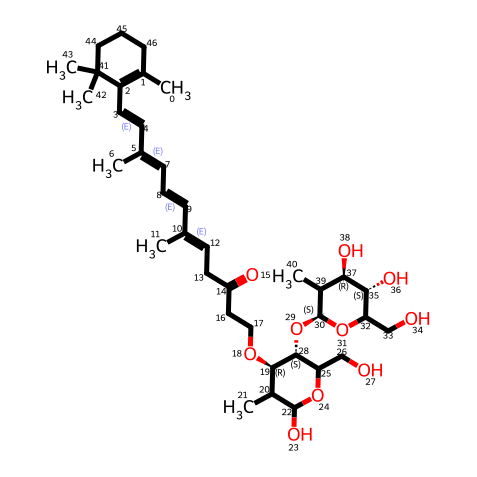 CC1=C(/C=C/C(C)=C/C=C/C(C)=C/CC(=O)CCO[C@@H]2C(C)C(O)OC(CO)[C@H]2O[C@@H]2OC(CO)[C@@H](O)[C@H](O)C2C)C(C)(C)CCC1